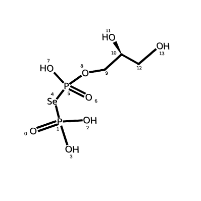 O=P(O)(O)[Se]P(=O)(O)OC[C@@H](O)CO